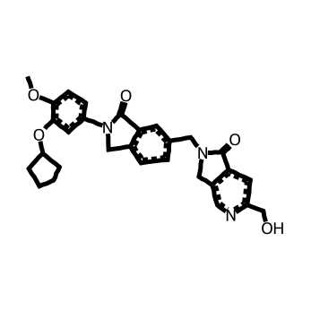 COc1ccc(N2Cc3ccc(CN4Cc5cnc(CO)cc5C4=O)cc3C2=O)cc1OC1CCCC1